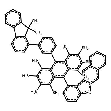 Bc1c(B)c(B)c2c(-c3cccc4oc5cc6ccccc6cc5c34)c3c(B)c(B)c(B)c(B)c3c(-c3cccc(-c4cccc5c4C(C)(C)c4ccccc4-5)c3)c2c1B